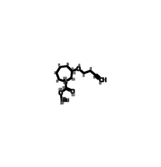 C#CCCO[C@@H]1CCCCN(C(=O)OC(C)(C)C)C1